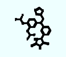 O=C1NC(=O)C(c2cccc(N(Cc3cncs3)c3ccc(OC(F)F)c(OC(F)F)c3)c2)N1